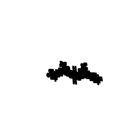 CC(C)(C)OC[C@@H]1C(=O)N(OC(=O)C(O)C(O)C(=O)ON2CCN(C(=O)C[C@H](N)Cc3cc(F)c(F)cc3F)[C@H](COC(C)(C)C)C2=O)CCN1C(=O)C[C@H](N)Cc1cc(F)c(F)cc1F